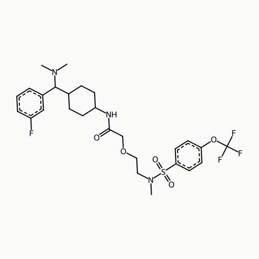 CN(C)C(c1cccc(F)c1)C1CCC(NC(=O)COCCN(C)S(=O)(=O)c2ccc(OC(F)(F)F)cc2)CC1